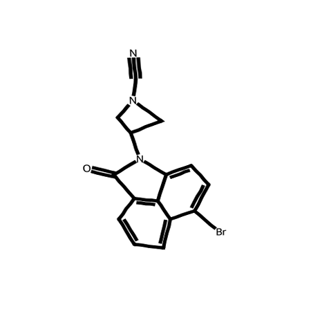 N#CN1CC(N2C(=O)c3cccc4c(Br)ccc2c34)C1